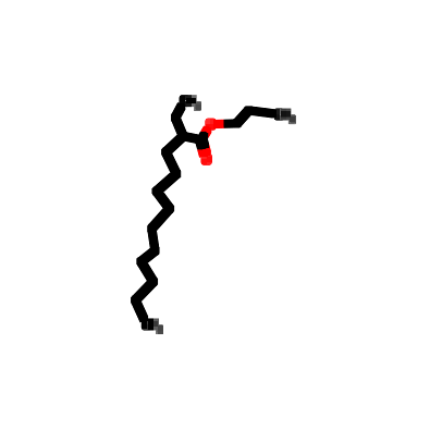 CCCCCCCCCCC(CC)C(=O)OCCC